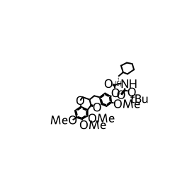 COc1ccc(CC2COc3cc(OC)c(OC)c(OC)c3C2=O)cc1OC(=O)[C@H](CC1CCCCC1)NC(=O)OC(C)(C)C